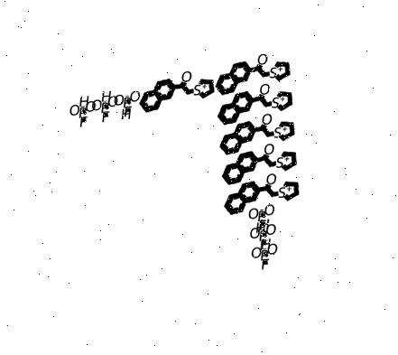 O=C(C[S+]1CCCC1)c1ccc2ccccc2c1.O=C(C[S+]1CCCC1)c1ccc2ccccc2c1.O=C(C[S+]1CCCC1)c1ccc2ccccc2c1.O=C(C[S+]1CCCC1)c1ccc2ccccc2c1.O=C(C[S+]1CCCC1)c1ccc2ccccc2c1.O=C(C[S+]1CCCC1)c1ccc2ccccc2c1.O=[PH]([O-])F.O=[PH]([O-])F.O=[PH]([O-])F.O=[PH]([O-])F.O=[PH]([O-])F.O=[PH]([O-])F